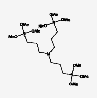 CO[Si](CCCN(CCC[Si](OC)(OC)OC)CCC[Si](OC)(OC)OC)(OC)OC